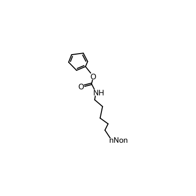 CCCCCCCCCCCCCCNC(=O)Oc1ccccc1